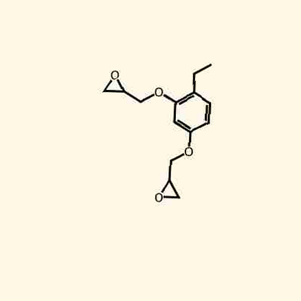 CCc1ccc(OCC2CO2)cc1OCC1CO1